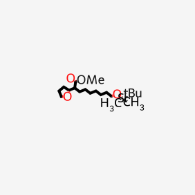 COC(=O)C(CCCCCCCO[Si](C)(C)C(C)(C)C)C1CCCO1